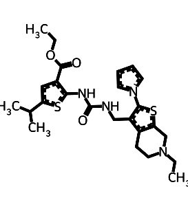 CCOC(=O)c1cc(C(C)C)sc1NC(=O)NCc1c(-n2cccc2)sc2c1CCN(CC)C2